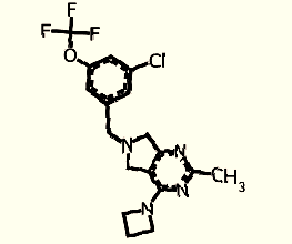 Cc1nc2c(c(N3CCC3)n1)CN(Cc1cc(Cl)cc(OC(F)(F)F)c1)C2